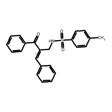 Cc1ccc(S(=O)(=O)NC/C(=C\c2ccccc2)C(=O)c2ccccc2)cc1